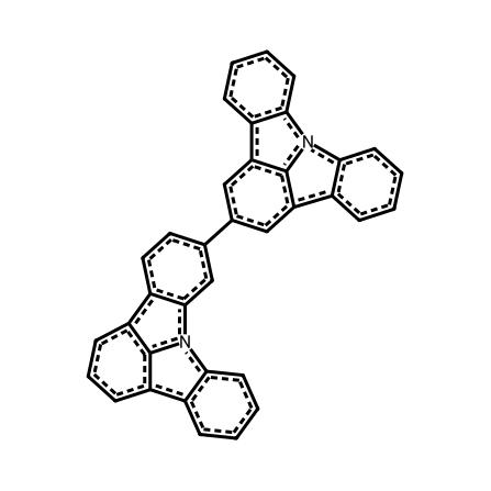 c1ccc2c(c1)c1cc(-c3ccc4c5cccc6c7ccccc7n(c4c3)c65)cc3c4ccccc4n2c13